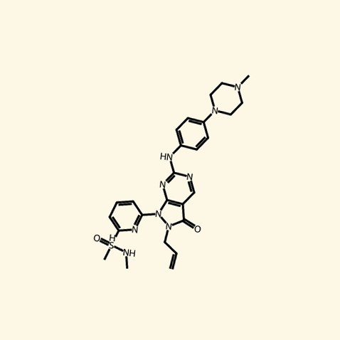 C=CCn1c(=O)c2cnc(Nc3ccc(N4CCN(C)CC4)cc3)nc2n1-c1cccc([SH](C)(=O)NC)n1